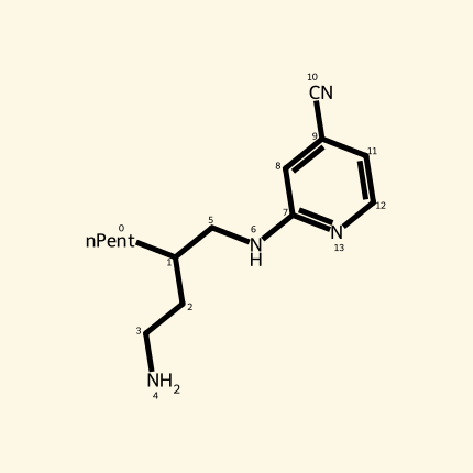 CCCCCC(CCN)CNc1cc(C#N)ccn1